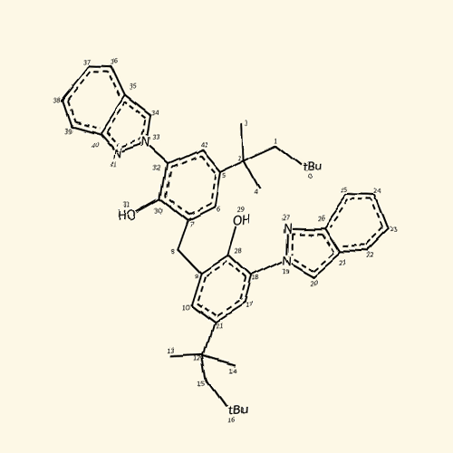 CC(C)(C)CC(C)(C)c1cc(Cc2cc(C(C)(C)CC(C)(C)C)cc(-n3cc4ccccc4n3)c2O)c(O)c(-n2cc3ccccc3n2)c1